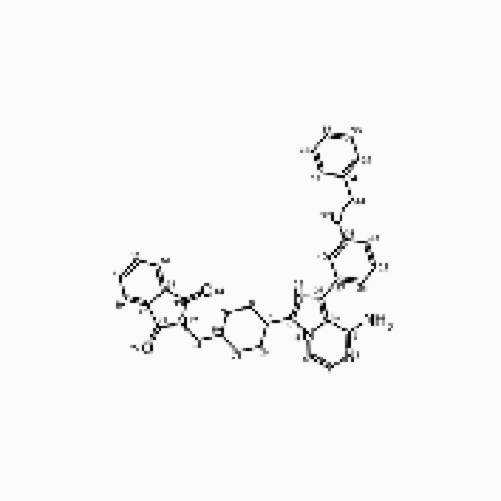 Nc1nccn2c(C3CCC(CN4C(=O)c5ccccc5C4=O)CC3)nc(-c3cccc(OCc4ccccc4)c3)c12